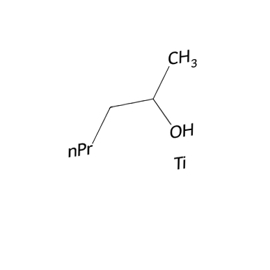 CCCCC(C)O.[Ti]